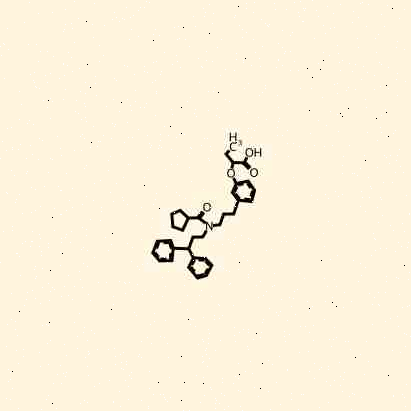 CCC(Oc1cccc(CCCN(CCC(c2ccccc2)c2ccccc2)C(=O)C2CCCC2)c1)C(=O)O